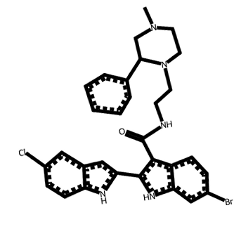 CN1CCN(CCNC(=O)c2c(-c3cc4cc(Cl)ccc4[nH]3)[nH]c3cc(Br)ccc23)C(c2ccccc2)C1